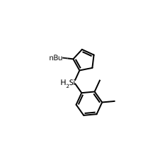 CCCCC1=C([SiH2]c2cccc(C)c2C)CC=C1